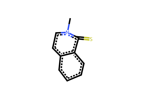 Cn1ccc2ccccc2c1=S